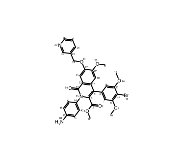 COC(=O)c1c(-c2cc(OC)c(Br)c(OC)c2)c2cc(OC)c(OCc3cccnc3)cc2c(=O)n1-c1ccc(N)cc1